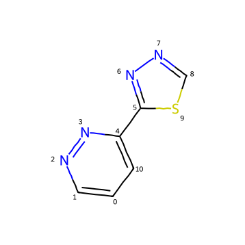 c1cnnc(-c2nncs2)c1